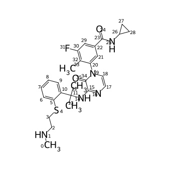 CNCCSc1ccccc1C(C)(C)Nc1nccn(-c2cc(C(=O)NC3CC3)cc(F)c2C)c1=O